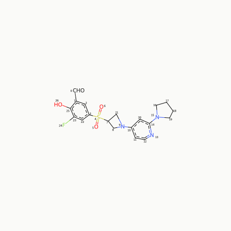 O=Cc1cc(S(=O)(=O)C2CN(c3ccnc(N4CCCC4)c3)C2)cc(F)c1O